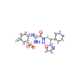 O=C(NCC(c1ccccc1)c1ncco1)C1=Nc2ccc(F)cc2S(=O)(=O)N1